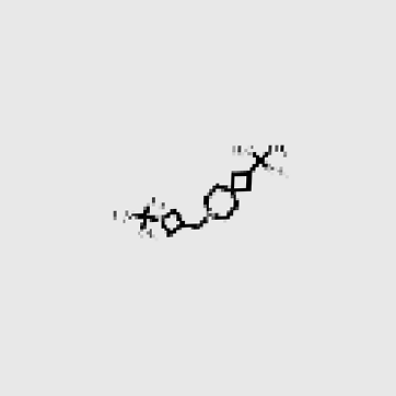 CC(C)(C)C1CC2(CCN(CC3CN(C(C)(C)C)C3)CC2)C1